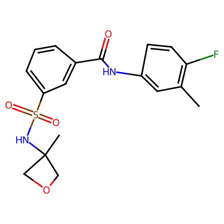 Cc1cc(NC(=O)c2cccc(S(=O)(=O)NC3(C)COC3)c2)ccc1F